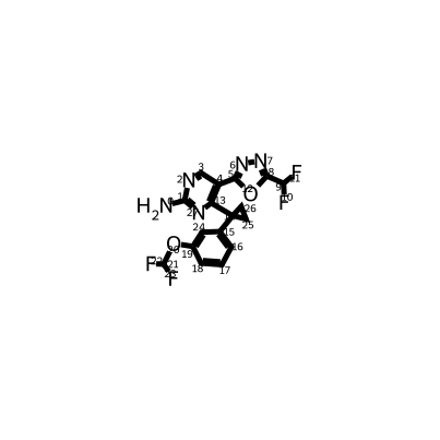 Nc1ncc(-c2nnc(C(F)F)o2)c(C2(c3cccc(OC(F)F)c3)CC2)n1